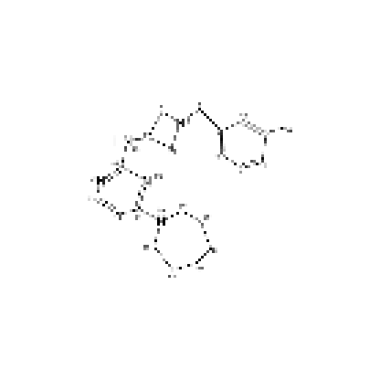 Cc1cccc(CN2CC(Nc3nccc(N4CCCCCC4)n3)C2)c1